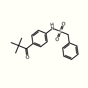 CC(C)(C)C(=O)c1ccc(NS(=O)(=O)Cc2ccccc2)cc1